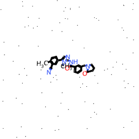 Cc1ccc(-c2cnc(NC(=O)c3cccc(CN4CCCC4=O)c3)n2C)cc1C#N